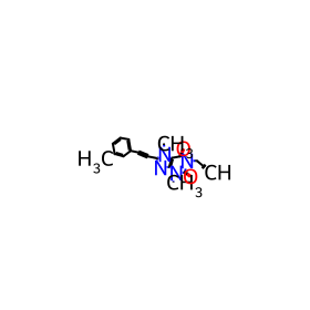 C#CCn1c(=O)c2c(nc(C#Cc3cccc(C)c3)n2C)n(C)c1=O